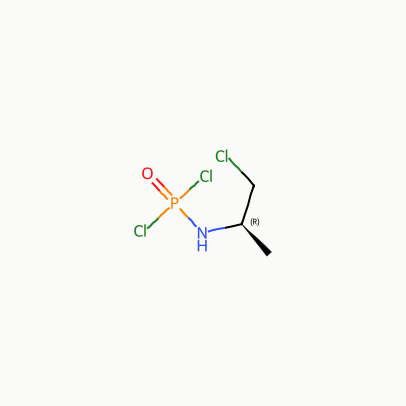 C[C@H](CCl)NP(=O)(Cl)Cl